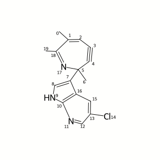 CC1=CC#CC(C)(c2c[nH]c3ncc(Cl)cc23)N=C1C